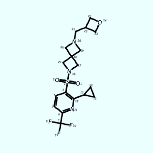 O=S(=O)(c1ccc(C(F)(F)F)nc1C1CC1)N1CC2(CN(CC3COC3)C2)C1